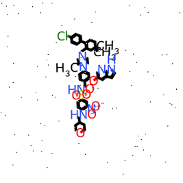 C[C@@H]1CN(CC2=C(c3ccc(Cl)cc3)CCC(C)(C)C2)CCN1c1ccc(C(=O)NS(=O)(=O)c2ccc(NCC3CCOCC3)c([N+](=O)[O-])c2)c(Oc2cnc3[nH]ccc3c2)c1